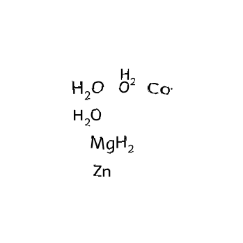 O.O.O.[Co].[MgH2].[Zn]